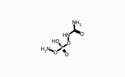 NOP(=O)(O)ONC(N)=O